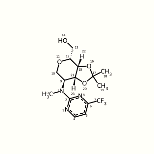 CN(c1nccc(C(F)(F)F)n1)[C@H]1CO[C@H](CO)[C@@H]2OC(C)(C)O[C@@H]21